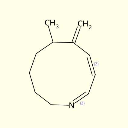 C=C1/C=C\C=N/CCCCC1C